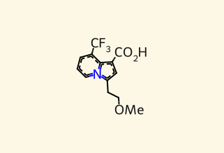 COCCc1cc(C(=O)O)c2c(C(F)(F)F)cccn12